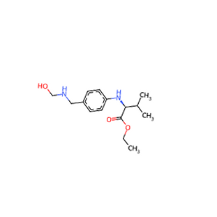 CCOC(=O)[C@@H](Nc1ccc(CNCO)cc1)C(C)C